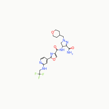 NC(=O)C1=NN(CC2CCOCC2)CC1NC(=O)c1coc(-c2ccnc(NCC(F)(F)F)c2)n1